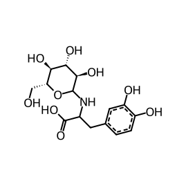 O=C(O)C(Cc1ccc(O)c(O)c1)NC1O[C@H](CO)[C@@H](O)[C@H](O)[C@H]1O